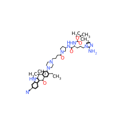 CCc1cc2c(cc1N1CCN(CCCC(=O)N3CC[C@@H](NC(=O)[C@H](CCCn4ccnc4N)NC(=O)OC(C)(C)C)C3)CC1)C(C)(C)c1[nH]c3cc(C#N)ccc3c1C2=O